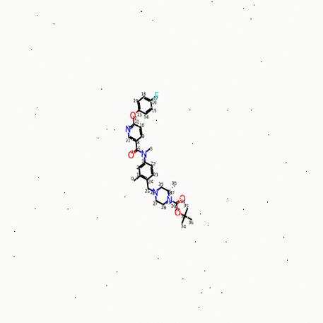 Cc1cc(N(C)C(=O)c2ccc(Oc3ccc(F)cc3)nc2)ccc1CN1CCN(C(=O)OC(C)(C)C)[C@@H](C)C1